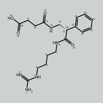 N=C(N)NCCCCNC(=O)[C@H](CNC(=O)CCC(=O)O)c1ccccc1